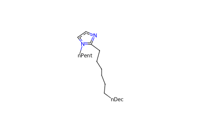 CCCCCCCCCCCCCCCCc1nccn1CCCCC